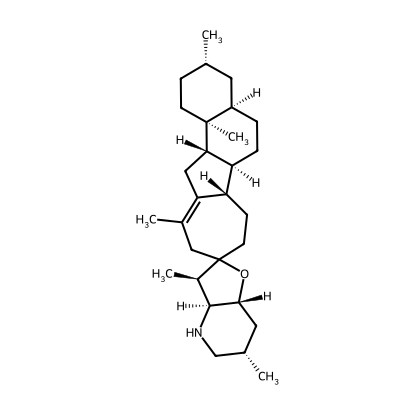 CC1=C2C[C@H]3[C@@H](CC[C@@H]4C[C@@H](C)CC[C@@]43C)[C@@H]2CCC2(C1)O[C@@H]1C[C@H](C)CN[C@H]1[C@H]2C